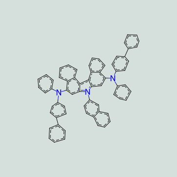 c1ccc(-c2ccc(N(c3ccccc3)c3cc4c(c5ccccc35)c3c5ccccc5c(N(c5ccccc5)c5ccc(-c6ccccc6)cc5)cc3n4-c3ccc4ccccc4c3)cc2)cc1